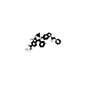 COC(=O)c1ccc2c(c1)NC(=O)/C2=C(/c1ccccc1)N(c1ccc2c(c1)CCN2C(=O)CN1CCCCC1)C1CC1